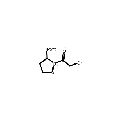 CCCC(C)C1CCCN1C(=O)CCl